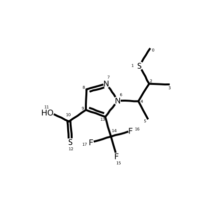 CSC(C)C(C)n1ncc(C(O)=S)c1C(F)(F)F